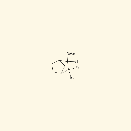 CCC1(CC)C2CCC(C2)C1(CC)NC